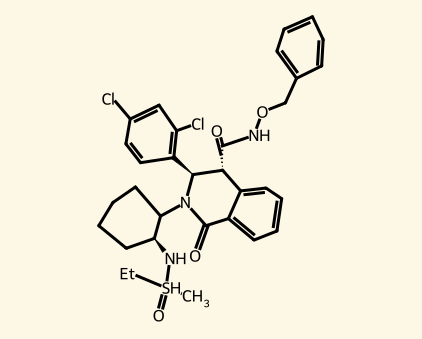 CC[SH](C)(=O)N[C@H]1CCCCC1N1C(=O)c2ccccc2[C@@H](C(=O)NOCc2ccccc2)[C@@H]1c1ccc(Cl)cc1Cl